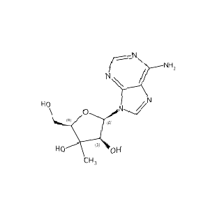 CC1(O)[C@H](O)[C@H](n2cnc3c(N)ncnc32)O[C@@H]1CO